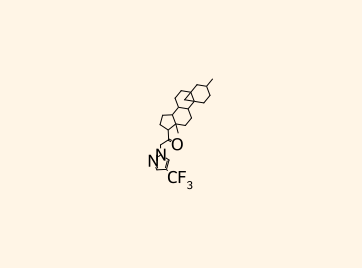 CC1CCC23CC2(CCC2C4CCC(C(=O)Cn5cc(C(F)(F)F)cn5)C4(C)CCC23)C1